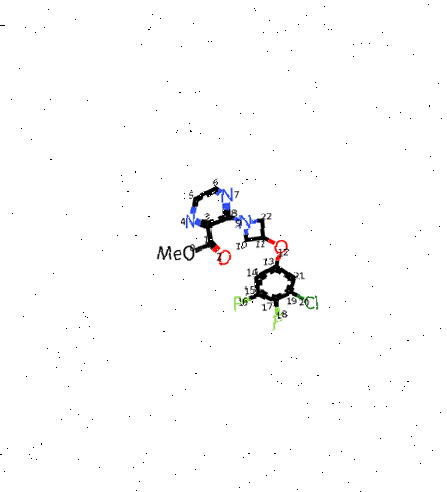 COC(=O)c1nccnc1N1CC(Oc2cc(F)c(F)c(Cl)c2)C1